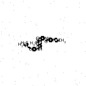 CCN(CC)CCOc1ccc(Nc2ncc3c(n2)N(C)C(=O)N(c2cc(NC(=O)c4ccc(N5CCN(C)CC5)cc4)ccc2Cl)C3)cc1